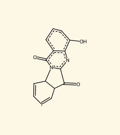 O=C1c2nc3c(O)cccc3c(=O)n2C2C=CI=CC12